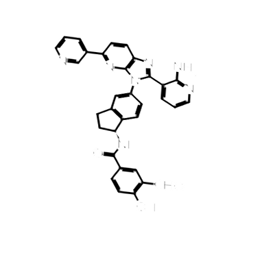 Nc1ncccc1-c1nc2ccc(-c3cccnc3)nc2n1-c1ccc2c(c1)CC[C@@H]2NC(=O)c1ccc(O)c(C=O)c1